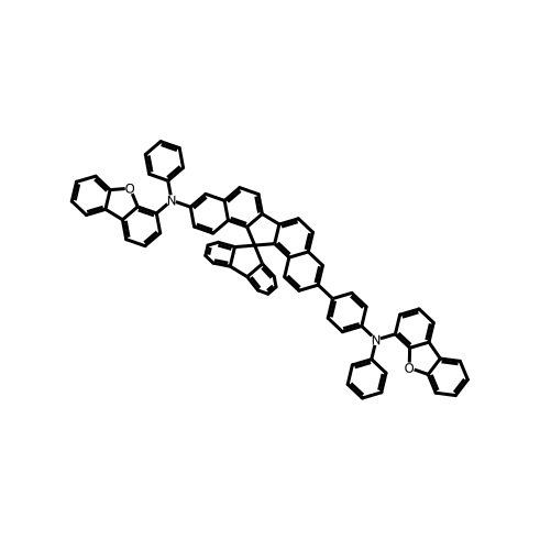 c1ccc(N(c2ccc(-c3ccc4c5c(ccc4c3)-c3ccc4cc(N(c6ccccc6)c6cccc7c6oc6ccccc67)ccc4c3C53c4ccccc4-c4ccccc43)cc2)c2cccc3c2oc2ccccc23)cc1